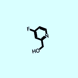 OCc1cc(F)ccn1